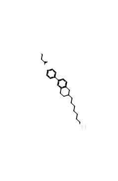 CCCCCCCCC1CCc2cc(-c3ccc(OC(=O)CCC)cc3)ccc2C1